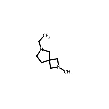 CN1CC2(CCN(CC(F)(F)F)C2)C1